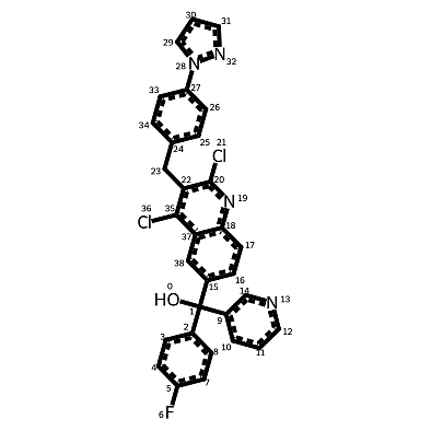 OC(c1ccc(F)cc1)(c1cccnc1)c1ccc2nc(Cl)c(Cc3ccc(-n4cccn4)cc3)c(Cl)c2c1